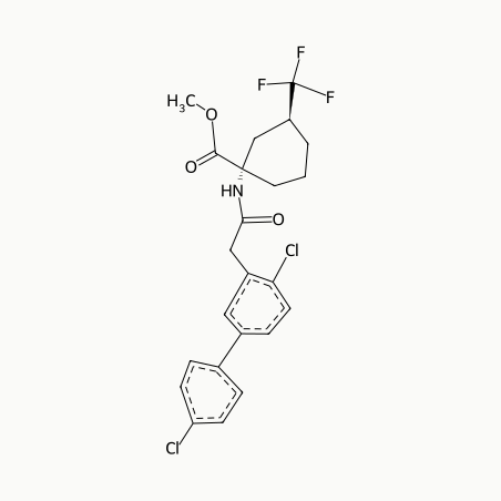 COC(=O)[C@]1(NC(=O)Cc2cc(-c3ccc(Cl)cc3)ccc2Cl)CCC[C@H](C(F)(F)F)C1